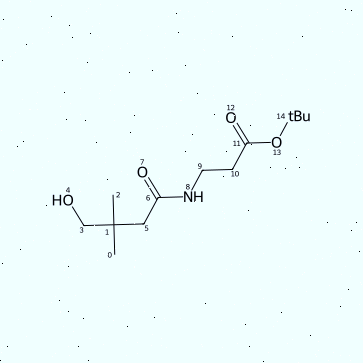 CC(C)(CO)CC(=O)NCCC(=O)OC(C)(C)C